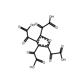 O=C(O)C(=O)c1oc(C(=O)C(=O)O)c(C(=O)C(=O)O)c1C(=O)C(=O)O